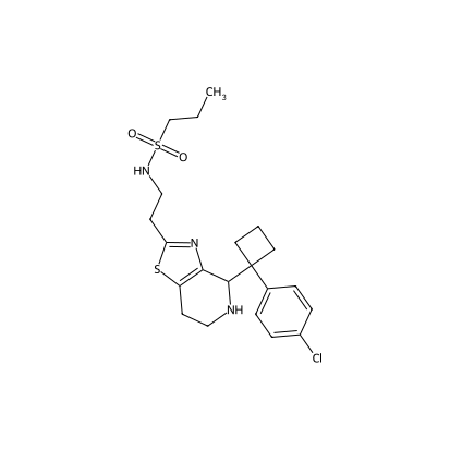 CCCS(=O)(=O)NCCc1nc2c(s1)CCNC2C1(c2ccc(Cl)cc2)CCC1